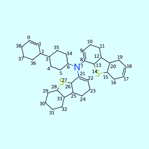 C1=CC(C2CCC(N(C3=CCCC4C3SC3CC=CCC34)C3=CCCC4C3SC3CCCCC34)CC2)CCC1